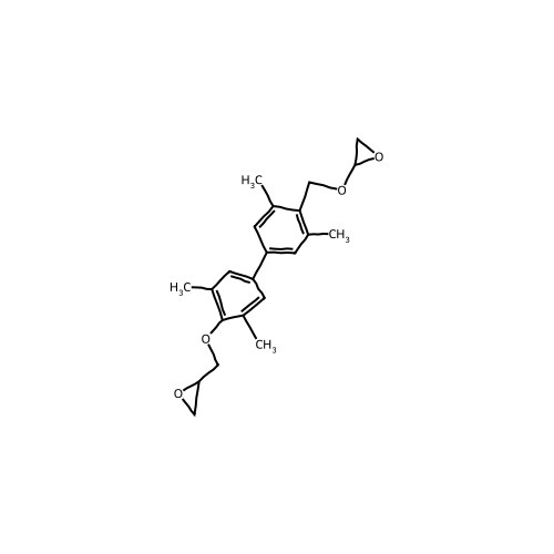 Cc1cc(-c2cc(C)c(OCC3CO3)c(C)c2)cc(C)c1COC1CO1